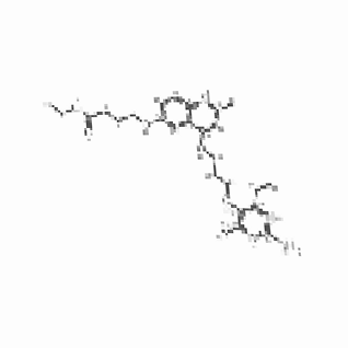 CCOC(=O)CCCOc1ccc2nc(C)cc(OCCCOc3c(N)nc(N)nc3CC)c2c1